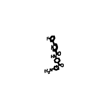 N[C@H]1CCN(C(=O)C2CCC(NC(=O)c3ccc(-c4cccc(F)c4)nc3)CC2)C1